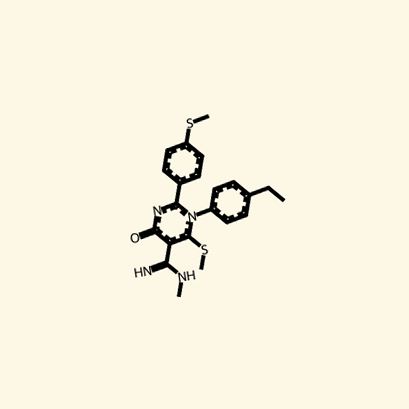 CCc1ccc(-n2c(-c3ccc(SC)cc3)nc(=O)c(C(=N)NC)c2SC)cc1